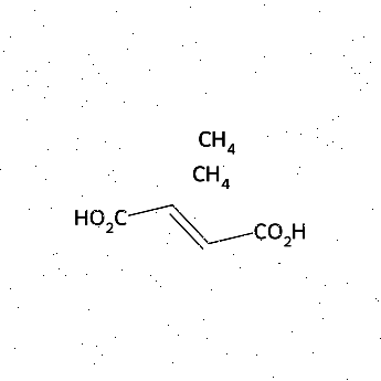 C.C.O=C(O)/C=C/C(=O)O